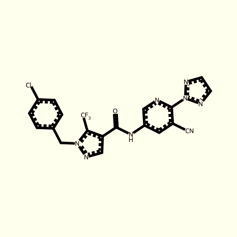 N#Cc1cc(NC(=O)c2cnn(Cc3ccc(Cl)cc3)c2C(F)(F)F)cnc1-n1nccn1